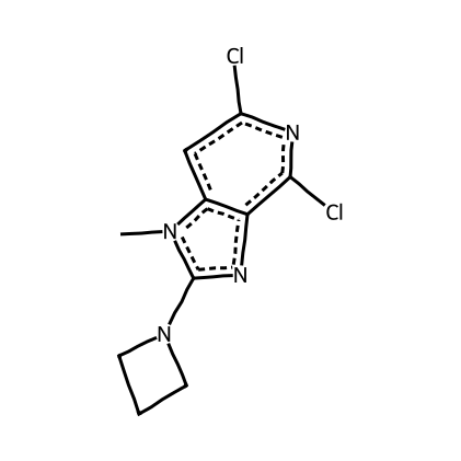 Cn1c(N2CCC2)nc2c(Cl)nc(Cl)cc21